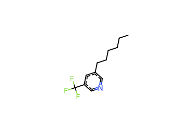 CCCCCCc1cncc(C(F)(F)F)c1